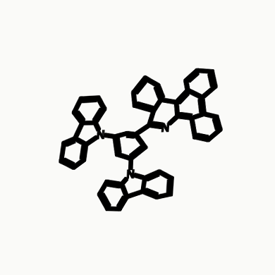 c1ccc2c(c1)c(-c1cc(-n3c4ccccc4c4ccccc43)cc(-n3c4ccccc4c4ccccc43)c1)nc1c3ccccc3c3ccccc3c21